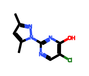 Cc1cc(C)n(-c2ncc(Cl)c(O)n2)n1